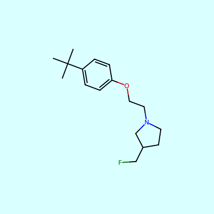 CC(C)(C)c1ccc(OCCN2CCC(CF)C2)cc1